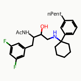 CCCCCc1cccc(C2(NCC(O)C(Cc3cc(F)cc(F)c3)NC(C)=O)CCCCC2)c1